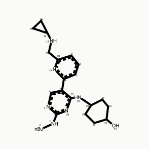 CCCCNc1ncc(-c2cccc(CNC3CC3)n2)c(NC2CCC(O)CC2)n1